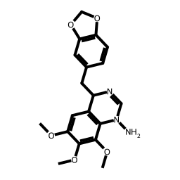 COc1cc2c(c(OC)c1OC)N(N)C=NC2Cc1ccc2c(c1)OCO2